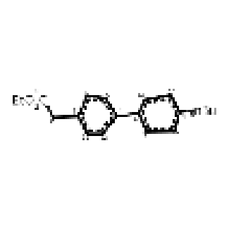 CCCCc1ccc(-c2ccc(CC(=O)OCC)cc2)cc1